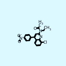 CCN(C(C)=O)c1cc(-c2ccc([N+](=O)[O-])cc2)c2cccc(Cl)c2n1